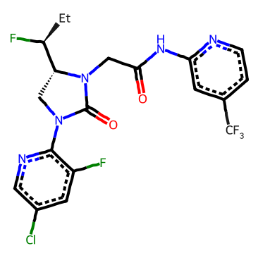 CC[C@H](F)[C@H]1CN(c2ncc(Cl)cc2F)C(=O)N1CC(=O)Nc1cc(C(F)(F)F)ccn1